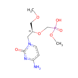 COC[C@H](Cn1ccc(N)nc1=O)OCP(=O)(O)OC